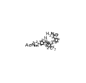 CC(=O)N1CCC(c2c#cc(Nc3ncc(C(F)(F)F)c(CCc4ccccc4CC(N)=O)n3)cc2)CC1